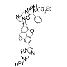 CCCN(C)Cc1ncc(-c2cc3c4c(c2)OCc2cc(-c5cnc(CN(CCC)C(=O)C(NC(=O)OCC)c6ccccc6)[nH]5)cc(c2-4)OC3)[nH]1